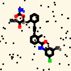 CNC(=O)[C@@H](Cc1ccccc1C#Cc1cccc(C(=O)Nc2cc(Cl)cc(C(F)(F)F)c2)c1C)OC(N)=O